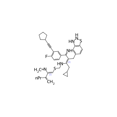 C=N/C(=C\SCN/C(CC1CC1)=C(/Cc1ccc2c(c1)NNS2)C(=N)c1ccc(F)c(C#CC2CCCC2)c1)C(=C)CCC